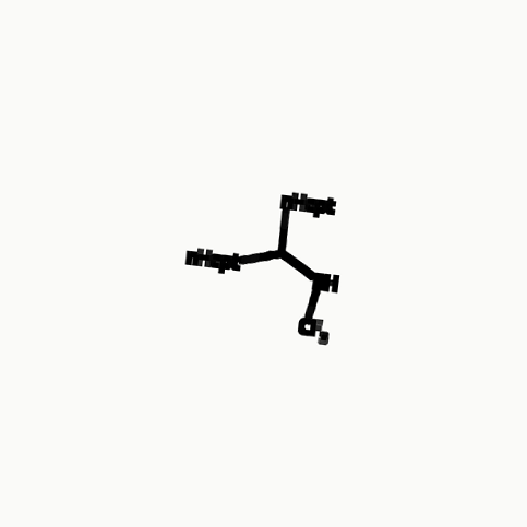 CCCCCCCC(BC(F)(F)F)CCCCCCC